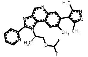 Cc1cc2c(cc1-c1c(C)noc1C)ncc1nc(-c3ccccn3)n([C@@H](C)COC(F)F)c12